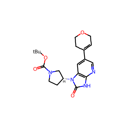 CC(C)(C)OC(=O)N1CC[C@@H](n2c(=O)[nH]c3ncc(C4=CCOCC4)cc32)C1